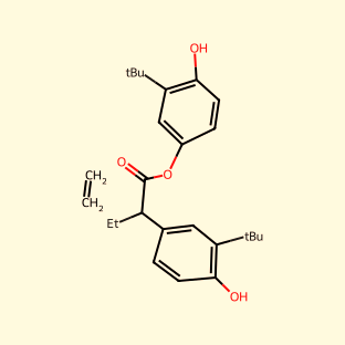 C=C.CCC(C(=O)Oc1ccc(O)c(C(C)(C)C)c1)c1ccc(O)c(C(C)(C)C)c1